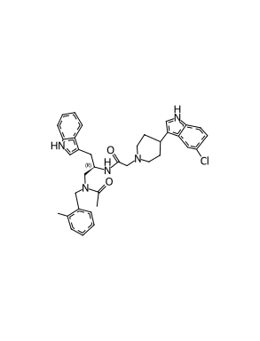 CC(=O)N(Cc1ccccc1C)C[C@@H](Cc1c[nH]c2ccccc12)NC(=O)CN1CCC(c2c[nH]c3ccc(Cl)cc23)CC1